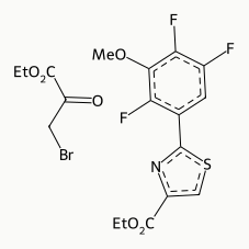 CCOC(=O)C(=O)CBr.CCOC(=O)c1csc(-c2cc(F)c(F)c(OC)c2F)n1